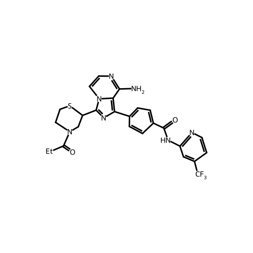 CCC(=O)N1CCSC(c2nc(-c3ccc(C(=O)Nc4cc(C(F)(F)F)ccn4)cc3)c3c(N)nccn23)C1